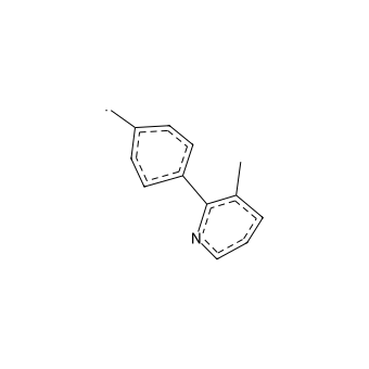 [CH2]c1ccc(-c2ncccc2C)cc1